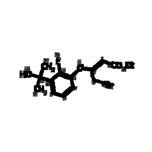 CCOC(=O)C=C(CBr)Oc1cccc(C(C)(C)O)c1F